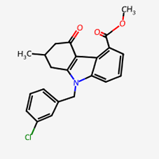 COC(=O)c1cccc2c1c1c(n2Cc2cccc(Cl)c2)CC(C)CC1=O